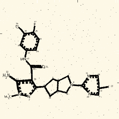 Cn1nc(C2CC3CN(c4ncc(I)cn4)CC3C2)c(C(=O)Nc2ccc(F)c(Cl)c2)c1N